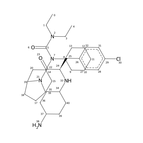 CCN(CC)C(=O)N(C1CCCCC1)C1CC2CCC(C1)N2C(=O)[C@@H](Cc1ccc(Cl)cc1)NC1CCC(N)CC1